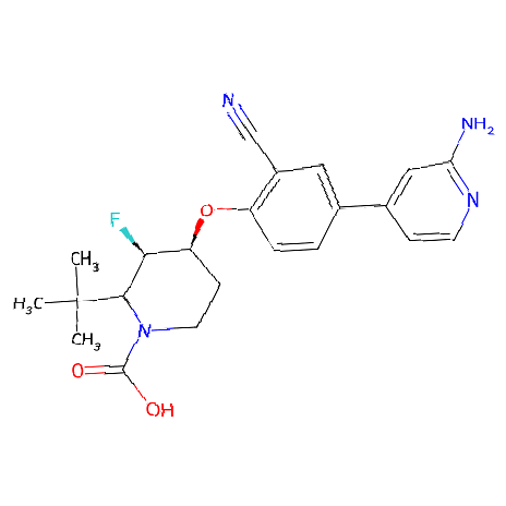 CC(C)(C)C1[C@@H](F)[C@@H](Oc2ccc(-c3ccnc(N)c3)cc2C#N)CCN1C(=O)O